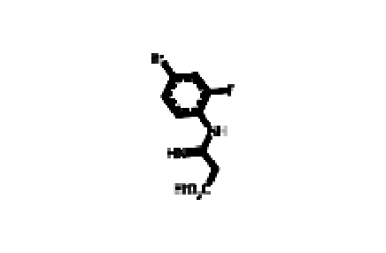 CCOC(=O)CC(=N)Nc1ccc(Br)cc1F